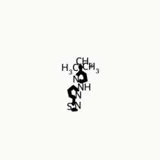 CC(C)(C)c1ccc(Nc2cccc(-c3nccs3)n2)nc1